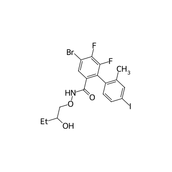 CCC(O)CONC(=O)c1cc(Br)c(F)c(F)c1-c1ccc(I)cc1C